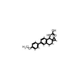 COc1ccc(-c2ccc3c(c2)CCC2(CC2)C3NC(=O)O)cc1